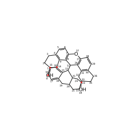 OC1CCc2ccc3c(c2C1)C(C1c2ccccc2CC2CCCCC21)c1c(ccc2c1CC(O)CC2)O3